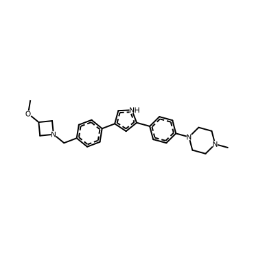 COC1CN(Cc2ccc(-c3c[nH]c(-c4ccc(N5CCN(C)CC5)cc4)c3)cc2)C1